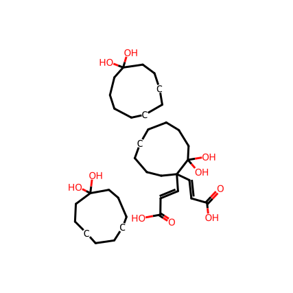 O=C(O)C=CC1(C=CC(=O)O)CCCCCCCCC1(O)O.OC1(O)CCCCCCCCC1.OC1(O)CCCCCCCCC1